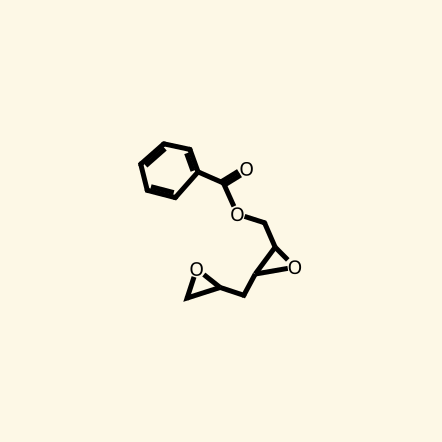 O=C(OCC1OC1CC1CO1)c1ccccc1